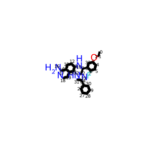 CCOc1ccc(F)c(C(Nc2ccc3c(N)nccc3c2)c2nc(-c3ccccc3)c[nH]2)c1